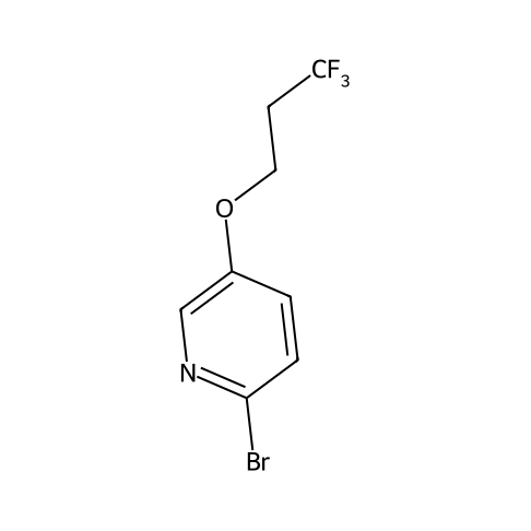 FC(F)(F)CCOc1ccc(Br)nc1